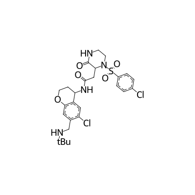 CC(C)(C)NCc1cc2c(cc1Cl)C(NC(=O)CC1C(=O)NCCN1S(=O)(=O)c1ccc(Cl)cc1)CCO2